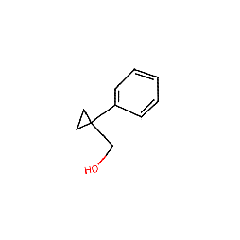 OCC1(c2[c]cccc2)CC1